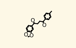 Cc1ccc(C(=O)CCC(=O)c2ccc3c(c2)OCO3)cc1